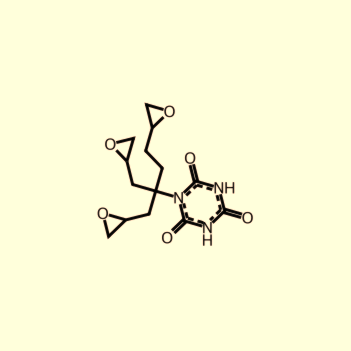 O=c1[nH]c(=O)n(C(CCC2CO2)(CC2CO2)CC2CO2)c(=O)[nH]1